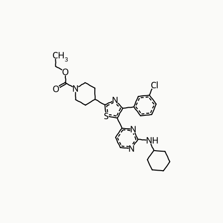 CCOC(=O)N1CCC(c2nc(-c3cccc(Cl)c3)c(-c3ccnc(NC4CCCCC4)n3)s2)CC1